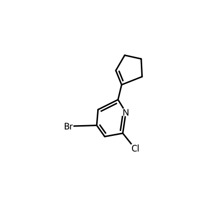 Clc1cc(Br)cc(C2=CCCC2)n1